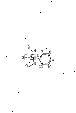 CC[Si](F)(CC)c1ccccc1